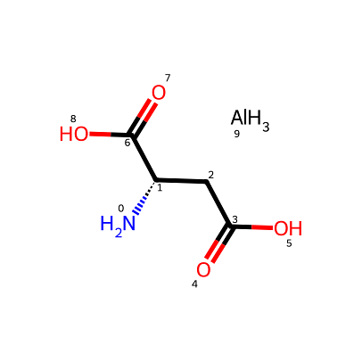 N[C@@H](CC(=O)O)C(=O)O.[AlH3]